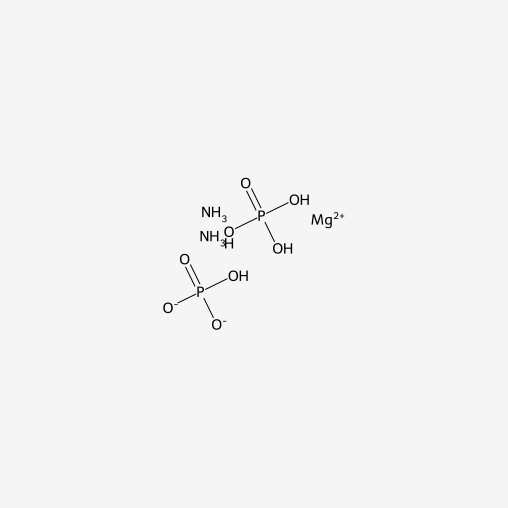 N.N.O=P(O)(O)O.O=P([O-])([O-])O.[Mg+2]